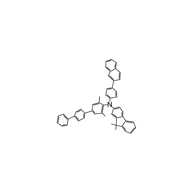 Cc1cc(-c2ccc(-c3ccccc3)cc2)cc(C)c1N(c1ccc(-c2ccc3ccccc3c2)cc1)c1ccc2c(c1)C(C)(C)c1ccccc1-2